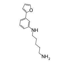 NCCCCCNc1cccc(-c2ccco2)c1